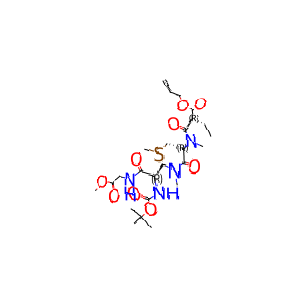 C=CCOC(=O)[C@H](CC)C(=O)N(C)[C@@H](CSC)C(=O)N(C)C[C@@H](NC(=O)OC(C)(C)C)C(=O)NCC(=O)OC